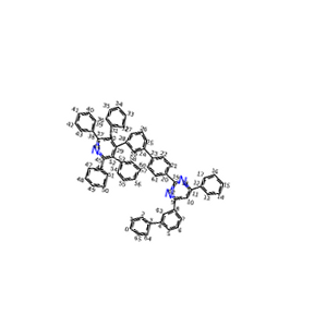 c1ccc(-c2cccc(-c3cc(-c4ccccc4)nc(-c4ccc(-c5cccc(-c6c(-c7ccccc7)c(-c7ccccc7)nc(-c7ccccc7)c6-c6ccccc6)c5)cc4)n3)c2)cc1